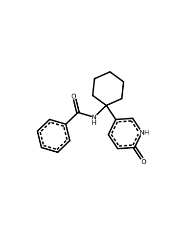 O=C(NC1(c2ccc(=O)[nH]c2)CCCCC1)c1ccccc1